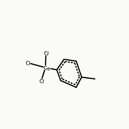 Cc1cc[c]([Ge]([Cl])([Cl])[Cl])cc1